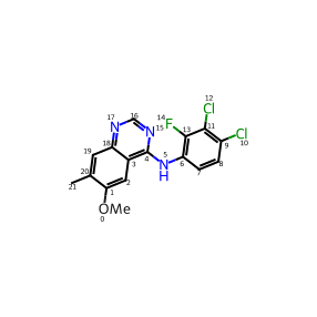 COc1cc2c(Nc3ccc(Cl)c(Cl)c3F)ncnc2cc1C